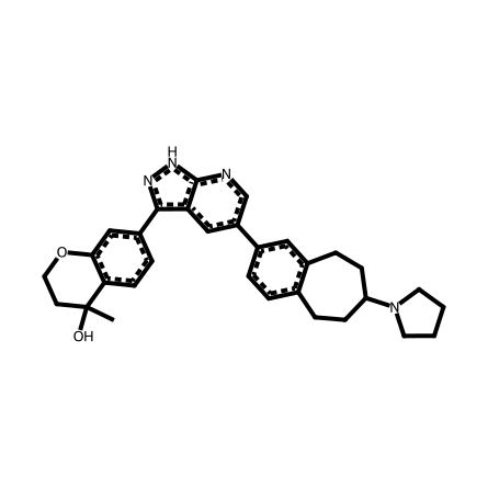 CC1(O)CCOc2cc(-c3n[nH]c4ncc(-c5ccc6c(c5)CCC(N5CCCC5)CC6)cc34)ccc21